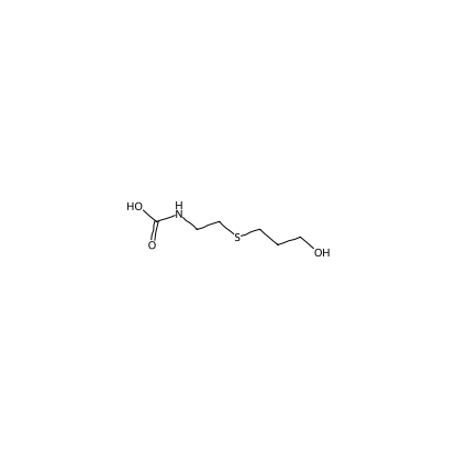 O=C(O)NCCSCCCO